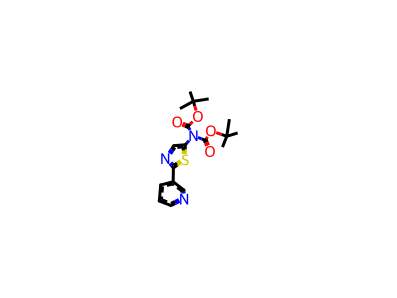 CC(C)(C)OC(=O)N(C(=O)OC(C)(C)C)c1cnc(-c2cccnc2)s1